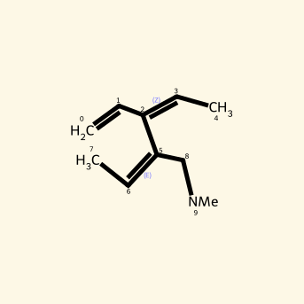 C=CC(=C/C)/C(=C\C)CNC